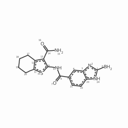 Bc1nc2cc(C(=O)Nc3sc4c(c3C(N)=O)CCCC4)ccc2[nH]1